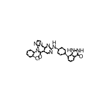 O=c1[nH][nH]c2c(-c3ccc(Nc4ncc5c(=O)n(-c6ccccc6Cl)c6nccn6c5n4)cc3)cccc12